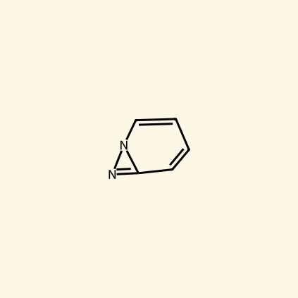 C1=CC2=NN2C=C1